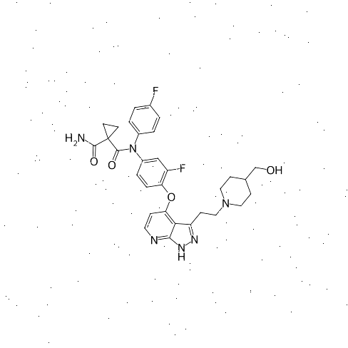 NC(=O)C1(C(=O)N(c2ccc(F)cc2)c2ccc(Oc3ccnc4[nH]nc(CCN5CCC(CO)CC5)c34)c(F)c2)CC1